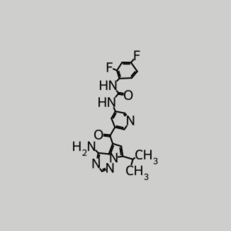 CC(C)c1cc(C(=O)c2cncc(NC(=O)Nc3ccc(F)cc3F)c2)c2c(N)ncnn12